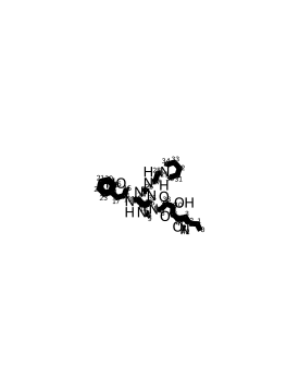 CCc1cc(C2OC(n3cnc4c(NC(CO)Cc5ccccc5)nc(NCCN5CCCCC5)nc43)C(O)C2O)on1